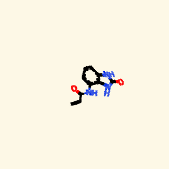 C=CC(=O)Nc1cccc2[nH]c(=O)[nH]c12